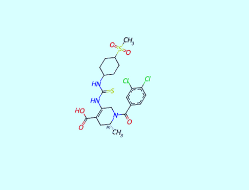 C[C@@H]1CC(C(=O)O)=C(NC(=S)NC2CCC(S(C)(=O)=O)CC2)CN1C(=O)c1ccc(Cl)c(Cl)c1